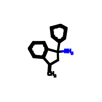 C=C1CC(N)(c2ccccc2)c2ccccc21